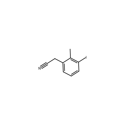 Cc1c(I)cccc1CC#N